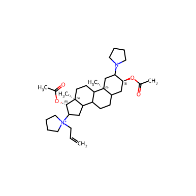 C=CC[N+]1(C2CC3C4CCC5C[C@H](OC(C)=O)C(N6CCCC6)C[C@]5(C)C4CC[C@]3(C)[C@H]2OC(C)=O)CCCC1